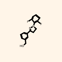 OCc1cccc(C2=NN(c3c(F)cccc3F)CC2)c1